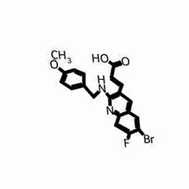 COc1ccc(CNc2nc3cc(F)c(Br)cc3cc2/C=C/C(=O)O)cc1